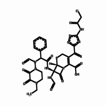 CCN1CCN(N(C=O)C(C(=O)N[C@]2(NC=O)C(=O)N3C(C(=O)O)=C(C(=S)c4nnc(NC(=O)CCl)s4)CS[C@H]32)c2ccccc2)C(=O)C1=O